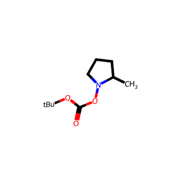 CC1CCCN1OC(=O)OC(C)(C)C